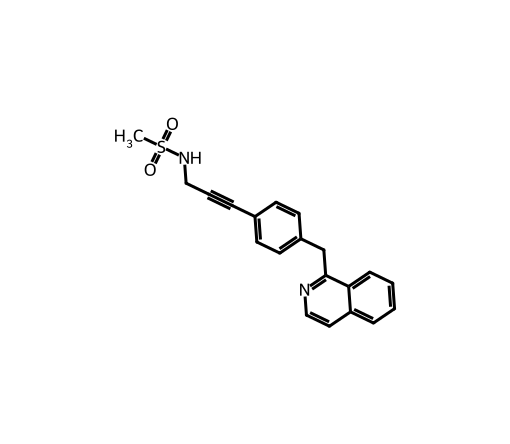 CS(=O)(=O)NCC#Cc1ccc(Cc2nccc3ccccc23)cc1